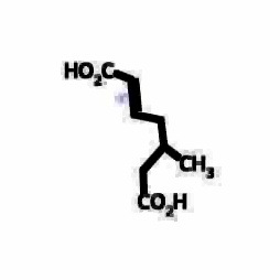 CC(C/C=C/C(=O)O)CC(=O)O